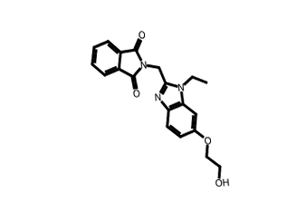 CCn1c(CN2C(=O)c3ccccc3C2=O)nc2ccc(OCCO)cc21